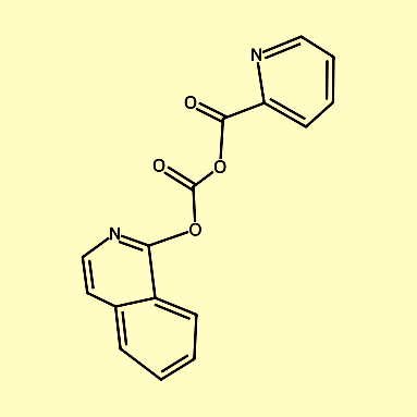 O=C(OC(=O)c1ccccn1)Oc1nccc2ccccc12